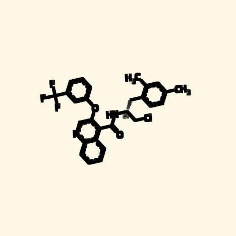 Cc1ccc(C[C@H](CCl)NC(=O)c2c(Oc3cccc(C(F)(F)F)c3)cnc3ccccc23)c(C)c1